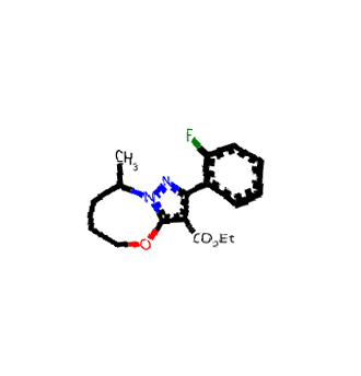 CCOC(=O)c1c(-c2ccccc2F)nn2c1OCCCC2C